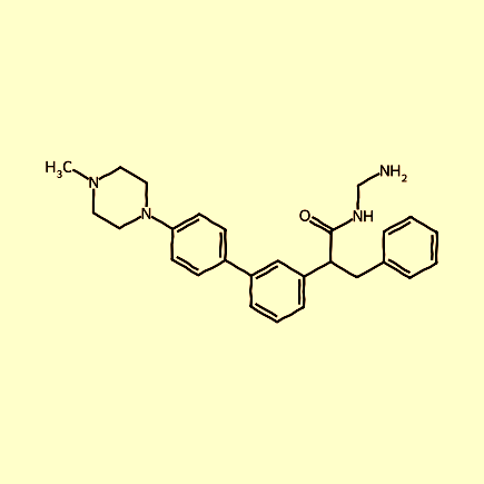 CN1CCN(c2ccc(-c3cccc(C(Cc4ccccc4)C(=O)NCN)c3)cc2)CC1